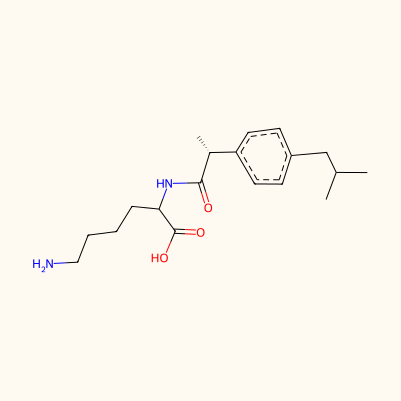 CC(C)Cc1ccc([C@@H](C)C(=O)NC(CCCCN)C(=O)O)cc1